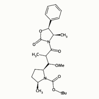 COC(C(C)C(=O)N1C(=O)O[C@@H](c2ccccc2)[C@H]1C)[C@@H]1CC[C@H](C)N1C(=O)OC(C)(C)C